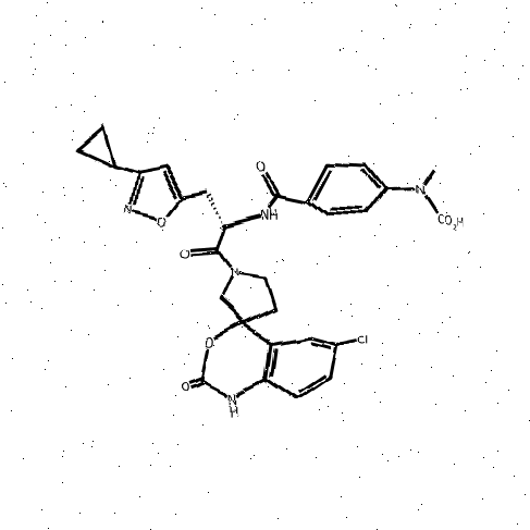 CN(C(=O)O)c1ccc(C(=O)N[C@@H](Cc2cc(C3CC3)no2)C(=O)N2CCC3(C2)OC(=O)Nc2ccc(Cl)cc23)cc1